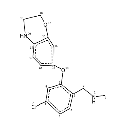 CNCc1ccc(Cl)cc1Oc1ccc2c(c1)OCCN2